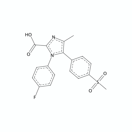 Cc1nc(C(=O)O)n(-c2ccc(F)cc2)c1-c1ccc(S(C)(=O)=O)cc1